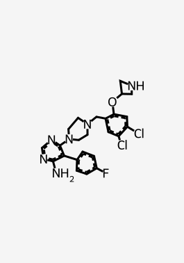 Nc1ncnc(N2CCN(Cc3cc(Cl)c(Cl)cc3OC3CNC3)CC2)c1-c1ccc(F)cc1